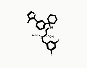 CC(=O)N[C@@H](Cc1cc(F)cc(F)c1)[C@@H](O)CNC1(c2cccc(-c3sccc3C)c2)CCCCC1